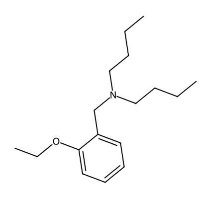 CCCCN(CCCC)Cc1ccccc1OCC